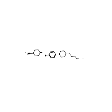 CCCCC[C@H]1CC[C@H](c2ccc(C(=O)OC3CCC(C#N)CC3)cc2)CC1